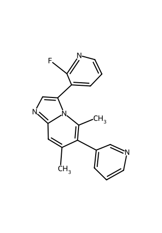 Cc1cc2ncc(-c3cccnc3F)n2c(C)c1-c1cccnc1